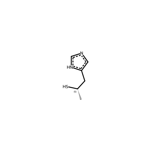 C[C@H](S)Cc1cnc[nH]1